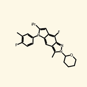 Cc1cc(-n2c(C(C)C)cc3c(F)c4nn(C5CCCCO5)c(C)c4cc32)ccc1F